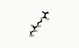 C=C(C)C(=O)OCCNC(=O)NCO